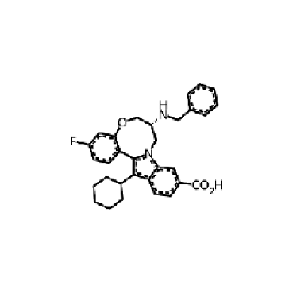 O=C(O)c1ccc2c(C3CCCCC3)c3n(c2c1)C[C@@H](NCc1ccccc1)COc1cc(F)ccc1-3